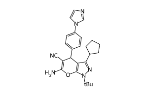 CC(C)(C)n1nc(C2CCCC2)c2c1OC(N)=C(C#N)C2c1ccc(-n2ccnc2)cc1